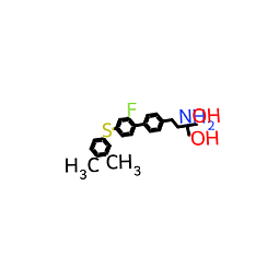 Cc1ccc(Sc2ccc(-c3ccc(CCC(N)(CO)CO)cc3)c(F)c2)cc1C